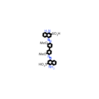 COc1cc(-c2ccc(/N=N/c3cc(S(=O)(=O)O)c(N)c4ccccc34)c(OC)c2)ccc1/N=N/c1cc(S(=O)(=O)O)c(N)c2ccccc12